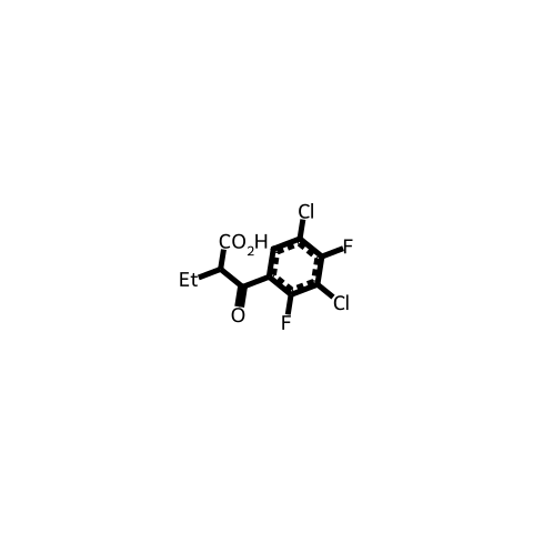 CCC(C(=O)O)C(=O)c1cc(Cl)c(F)c(Cl)c1F